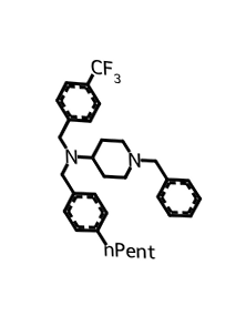 CCCCCc1ccc(CN(Cc2ccc(C(F)(F)F)cc2)C2CCN(Cc3ccccc3)CC2)cc1